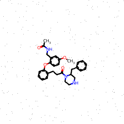 COc1ccc(Oc2ccccc2CCC(=O)N2CCNCC2Cc2ccccc2)c(CNC(C)=O)c1